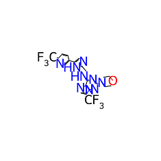 FC(F)(F)c1ccc(-c2cnc(CNc3nc(N4CCOCC4)nn4c(C(F)(F)F)cnc34)[nH]2)cn1